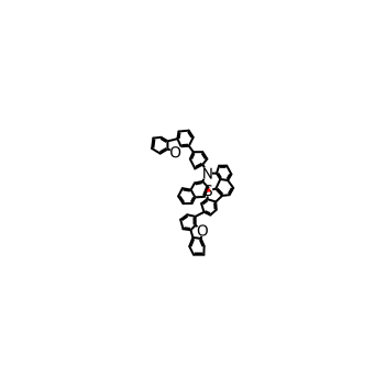 c1ccc2cc(N(c3ccc(-c4cccc5c4oc4ccccc45)cc3)c3cccc4ccc5c6ccc(-c7cccc8c7oc7ccccc78)cc6sc5c34)ccc2c1